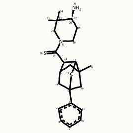 CC12CC3CC(c4ccccc4)(CC1C3C(=S)N1CC[C@H](N)C(C)(C)C1)C2